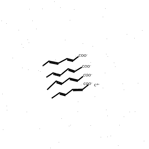 CC=CC=CC(=O)[O-].CC=CC=CC(=O)[O-].CC=CC=CC(=O)[O-].CC=CC=CC(=O)[O-].[C+4]